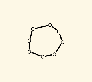 O1OOOOOOO1